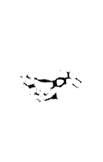 Cn1c(=O)c2c(nc(S(=O)(=O)CC3CC3)n2C)n(CC#Cc2cc(C(C(N)=O)N3CCOCC3)ccc2Cl)c1=O